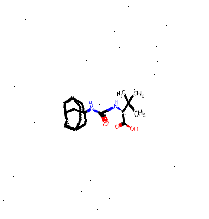 CC(C)(C)[C@H](NC(=O)NC12CC3CC(CC(C3)C1)C2)C(=O)O